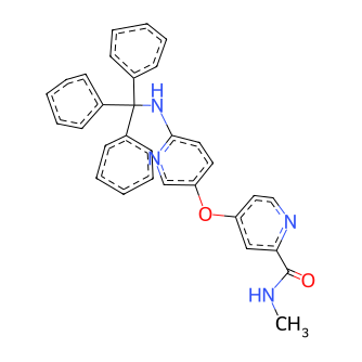 CNC(=O)c1cc(Oc2ccc(NC(c3ccccc3)(c3ccccc3)c3ccccc3)nc2)ccn1